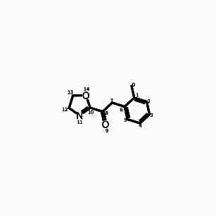 Cc1ccccc1CC(=O)C1=NCCO1